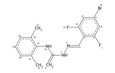 C=C(N/N=C/c1c(F)cc(Br)cc1F)Nc1c(C)cccc1C